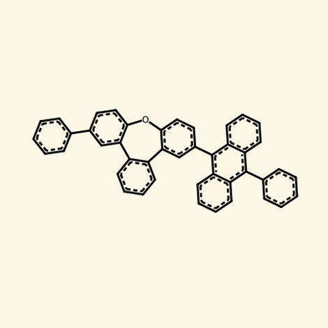 c1ccc(-c2ccc3c(c2)-c2ccccc2-c2cc(-c4c5ccccc5c(-c5ccccc5)c5ccccc45)ccc2O3)cc1